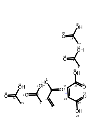 C=CC(=O)O.CC(=O)O.CC(=O)O.CC(=O)O.CC(=O)O.O=C(O)/C=C\C(=O)O